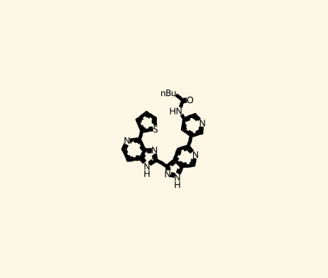 CCCCC(=O)Nc1cncc(-c2cc3c(-c4nc5c(-c6cccs6)nccc5[nH]4)n[nH]c3cn2)c1